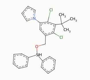 CC(C)(C)c1c(Cl)c(CO[SiH](c2ccccc2)c2ccccc2)cc(-n2cccc2)c1Cl